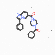 O=C(c1ccc2ncc(-c3ccccc3)n2c1)N1CCN(C(=O)C2CCCCC2)CC1